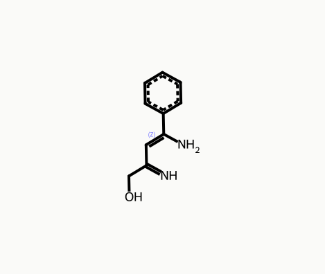 N=C(/C=C(\N)c1ccccc1)CO